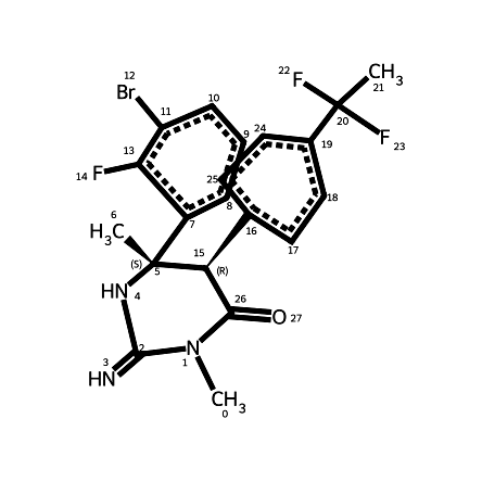 CN1C(=N)N[C@](C)(c2cccc(Br)c2F)[C@@H](c2ccc(C(C)(F)F)cc2)C1=O